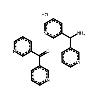 Cl.NC(c1cccnc1)c1cccnc1.O=C(c1cccnc1)c1cccnc1